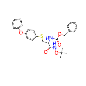 CC(C)(C)ONC(=O)C(CSc1ccc(Oc2ccccc2)cc1)NC(=O)OCc1ccccc1